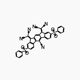 N#CC(C#N)=C1c2cc(S(=O)(=O)c3ccccc3)ccc2-c2c1cc1c(c2C#N)-c2ccc(S(=O)(=O)c3ccccc3)cc2C1=C(C#N)C#N